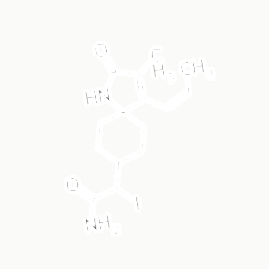 C/C=C\C1=C(C)C(=O)NC12CCC(C(I)C(N)=O)CC2